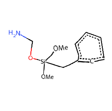 CO[Si](Cc1ccccc1)(OC)OCN